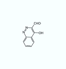 O=[C]c1nnc2ccccc2c1O